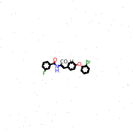 O=C(O)/C(=C\c1ccc(Oc2ccccc2Br)cc1)NC(=O)c1cccc(F)c1